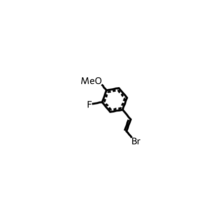 COc1ccc(C=CBr)cc1F